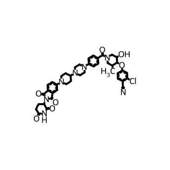 CC1CN(C(=O)c2ccc(N3CCN(C4CCN(c5ccc6c(c5)C(=O)N(C5CCC(=O)NC5=O)C6=O)CC4)CC3)cc2)CC(O)C1Oc1ccc(C#N)c(Cl)c1